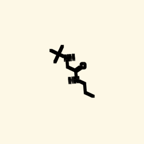 CCCNC(=O)CNC(C)(C)C